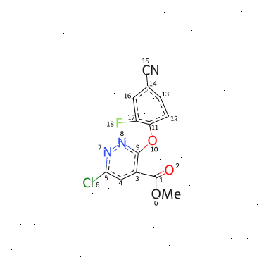 COC(=O)c1cc(Cl)nnc1Oc1ccc(C#N)cc1F